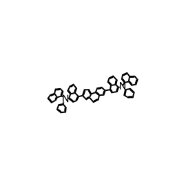 c1ccc(N(c2cccc3ccccc23)c2ccc(-c3ccc4c(ccc5cc(-c6ccc(N(c7ccccc7)c7cccc8ccccc78)c7ccccc67)ccc54)c3)c3ccccc23)cc1